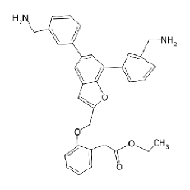 CCOC(=O)Cc1ccccc1OCc1cc2cc(-c3cccc(CN)c3)cc(-c3cccc(CN)c3)c2o1